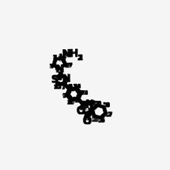 N[C@@H]1CCN(c2nc(-c3ccc(C4=NC5(CCCCC5)C(=O)O4)cc3)cs2)C1